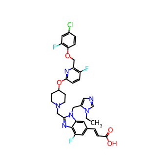 CCn1cncc1Cn1c(CN2CCC(Oc3ccc(F)c(COc4ccc(Cl)cc4F)n3)CC2)nc2c(F)cc(/C=C/C(=O)O)cc21